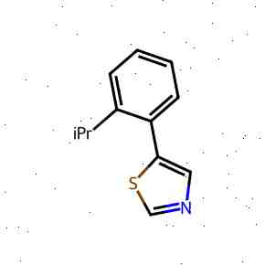 CC(C)c1ccccc1-c1cncs1